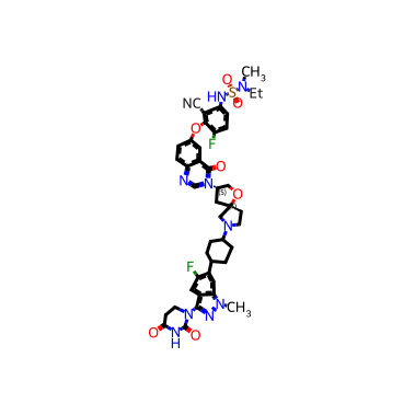 CCN(C)S(=O)(=O)Nc1ccc(F)c(Oc2ccc3ncn([C@@H]4CO[C@@]5(CCN(C6CCC(c7cc8c(cc7F)c(N7CCC(=O)NC7=O)nn8C)CC6)C5)C4)c(=O)c3c2)c1C#N